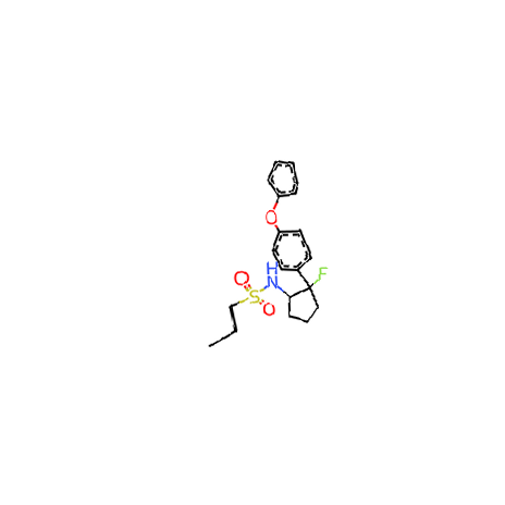 CCCS(=O)(=O)NC1CCCC1(F)c1ccc(Oc2ccccc2)cc1